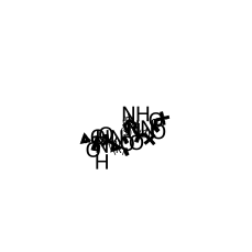 C=C[C@H]1C[C@]1(NC(=O)[C@@H]1C[C@@H](N)CN1C(=O)[C@@H](NC(=O)OC(C)(C)C)C(C)(C)C)C(=O)NS(=O)(=O)C1CC1